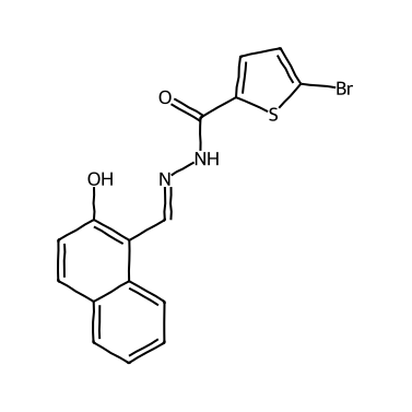 O=C(N/N=C/c1c(O)ccc2ccccc12)c1ccc(Br)s1